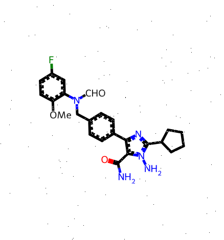 COc1ccc(F)cc1N(C=O)Cc1ccc(-c2nc(C3CCCC3)n(N)c2C(N)=O)cc1